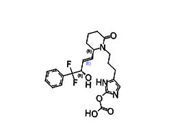 O=C(O)Oc1ncc(CCCN2C(=O)CCC[C@@H]2/C=C/[C@@H](O)C(F)(F)c2ccccc2)[nH]1